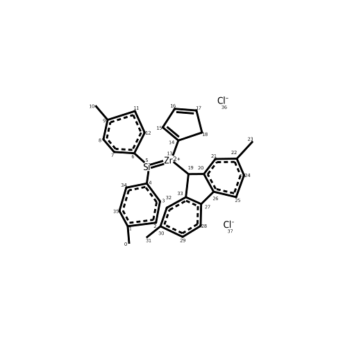 Cc1ccc([Si](c2ccc(C)cc2)=[Zr+2]([C]2=CC=CC2)[CH]2c3cc(C)ccc3-c3ccc(C)cc32)cc1.[Cl-].[Cl-]